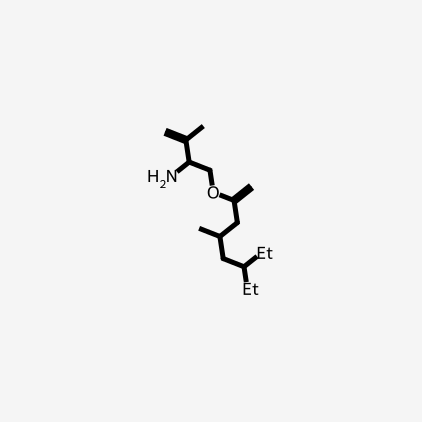 C=C(CC(C)CC(CC)CC)OCC(N)C(=C)C